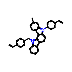 C=Cc1ccc(Cn2c3ccccc3c3ccc4c(c5ccc(C)cc5n4-c4ccc(C=C)cc4)c32)cc1